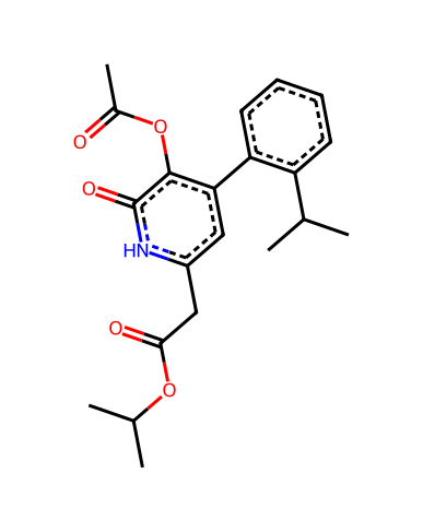 CC(=O)Oc1c(-c2ccccc2C(C)C)cc(CC(=O)OC(C)C)[nH]c1=O